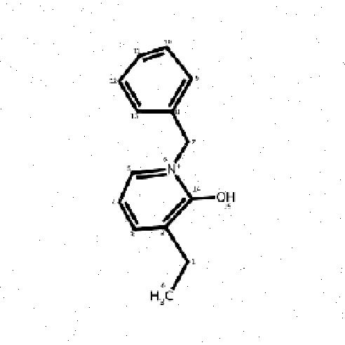 CCc1ccc[n+](Cc2ccccc2)c1O